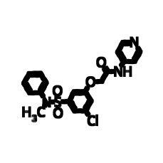 CN(c1ccccc1)S(=O)(=O)c1cc(Cl)cc(OCC(=O)Nc2ccncc2)c1